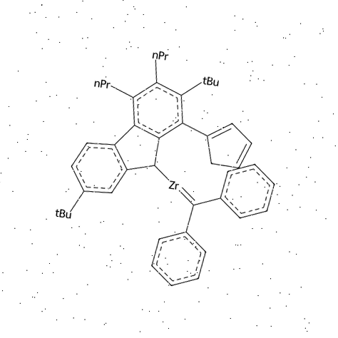 CCCc1c(CCC)c(C(C)(C)C)c(C2=CC=CC2)c2c1-c1ccc(C(C)(C)C)cc1[CH]2[Zr]=[C](c1ccccc1)c1ccccc1